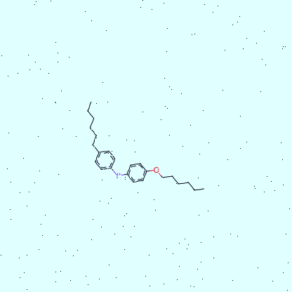 CCCCCCOc1ccc([I+]c2ccc(CCCCCC)cc2)cc1